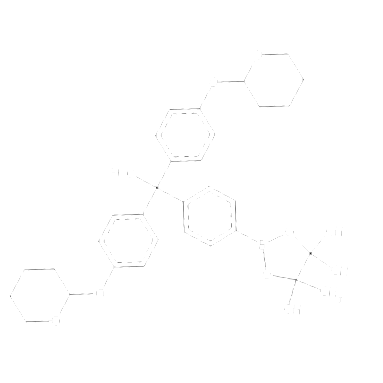 CC(c1ccc(OC2CCCCO2)cc1)(c1ccc(OC2CCCCO2)cc1)c1ccc(B2OC(C)(C)C(C)(C)O2)cc1